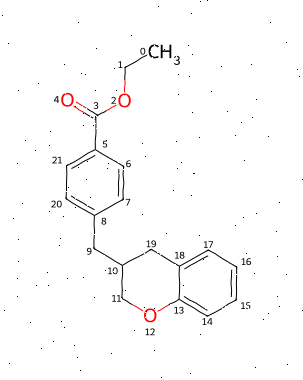 CCOC(=O)c1ccc(CC2COc3ccccc3C2)cc1